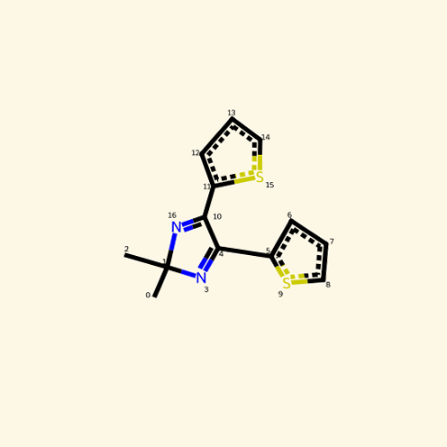 CC1(C)N=C(c2cccs2)C(c2cccs2)=N1